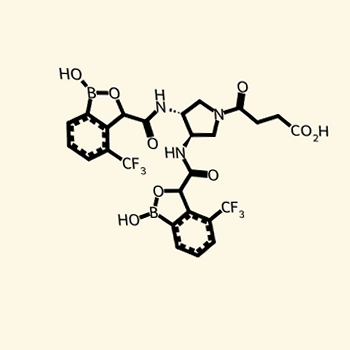 O=C(O)CCC(=O)N1C[C@@H](NC(=O)C2OB(O)c3cccc(C(F)(F)F)c32)[C@H](NC(=O)C2OB(O)c3cccc(C(F)(F)F)c32)C1